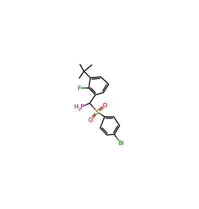 CC(C)(C)c1cccc(C(P)S(=O)(=O)c2ccc(Br)cc2)c1F